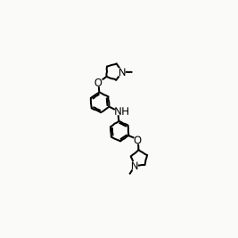 CN1CCC(Oc2cccc(Nc3cccc(OC4CCN(C)C4)c3)c2)C1